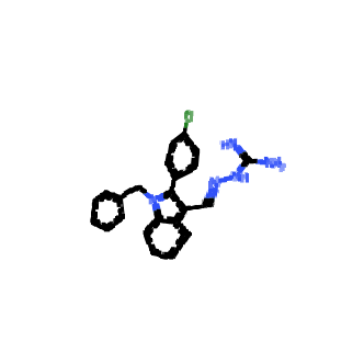 N=C(N)N/N=C/c1c(-c2ccc(Cl)cc2)n(Cc2ccccc2)c2ccccc12